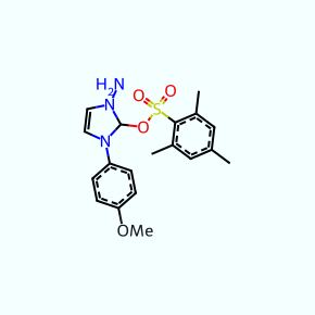 COc1ccc(N2C=CN(N)C2OS(=O)(=O)c2c(C)cc(C)cc2C)cc1